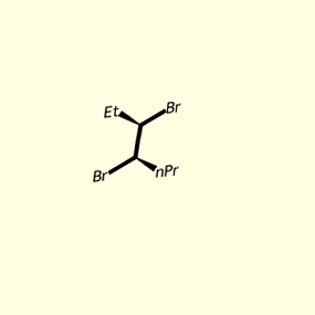 CCC[C@@H](Br)[C@H](Br)CC